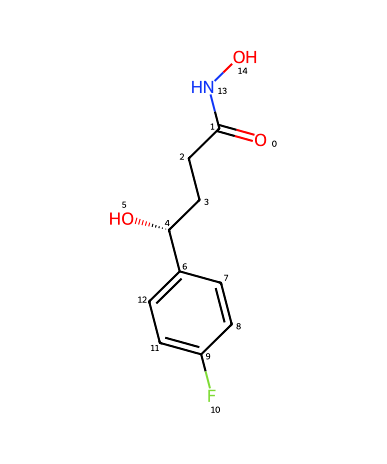 O=C(CC[C@@H](O)c1ccc(F)cc1)NO